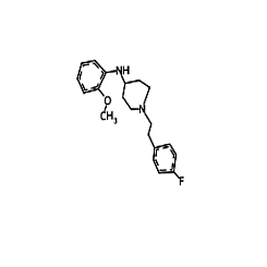 COc1ccccc1NC1CCN(CCc2ccc(F)cc2)CC1